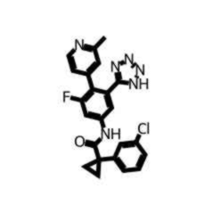 Cc1cc(-c2c(F)cc(NC(=O)C3(c4cccc(Cl)c4)CC3)cc2-c2nnn[nH]2)ccn1